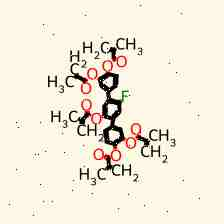 C=C(C)C(=O)Oc1ccc(-c2cc(OC(=O)C(=C)C)c(-c3ccc(OC(=O)C(=C)C)c(OC(=O)C(=C)C)c3)cc2F)cc1OC(=O)C(=C)C